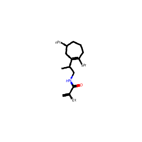 C=C(CC)C(=O)NCC(C)C1=C(CCC)CCCC(CCC)C1